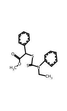 CCN(C(=S)SC(C(=O)OC)c1ccccc1)c1ccccc1